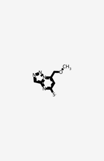 COCc1cc([S])nc2cnnn12